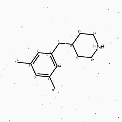 Cc1cc(C)cc(CC2CCNCC2)c1